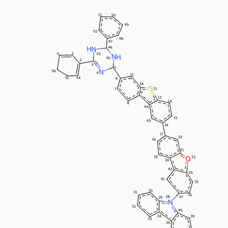 C1=CC(C2=NC(c3ccc4c(c3)sc3ccc(-c5ccc6c(c5)oc5ccc(-n7c8ccccc8c8ccccc87)cc56)cc34)NC(c3ccccc3)N2)=CCC1